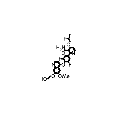 COc1cc2c(Oc3c(F)cc(-c4nccc(OCC(F)F)c4C(N)=O)cc3F)ccnc2cc1OCCO